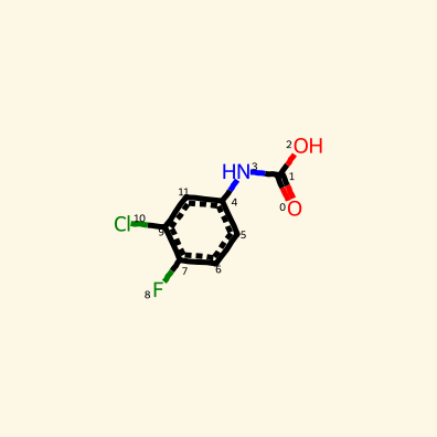 O=C(O)Nc1ccc(F)c(Cl)c1